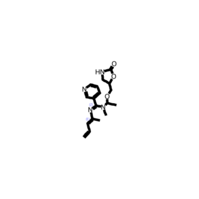 C=C/C=C(C)/N=C(/c1cccnc1)N(C)C(C)OCC1CNC(=O)O1